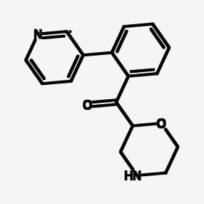 O=C(c1ccccc1-c1[c]nccc1)C1CNCCO1